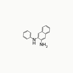 Nc1cc2ccccc2cc1Nc1ccccc1